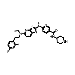 CCN(CCc1ccc(F)cc1F)c1ccc2nc(Nc3ccc(C(=O)NC4CCNCC4)cn3)sc2n1